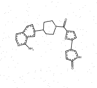 Nc1nccc2ccc(C3CCN(C(=O)c4ccc(-c5ccc(=O)[nH]c5)s4)CC3)cc12